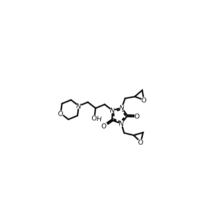 O=c1n(CC2CO2)c(=O)n(CC2CO2)n1CC(O)CN1CCOCC1